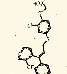 O=C(O)COc1ccc(SC/C=C(/c2ccccc2)c2ccccc2C(F)(F)F)cc1Cl